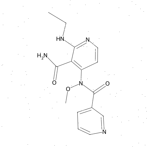 CCNc1nccc(N(OC)C(=O)c2cccnc2)c1C(N)=O